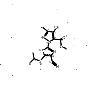 COC(=O)c1c(Br)c(C)nn1-c1nc(C#N)c(SC(C)C)s1